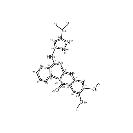 COc1cc2nc3nc(Nc4cc(C(C)C)n[nH]4)c4ccccc4n3c(=O)c2cc1OC